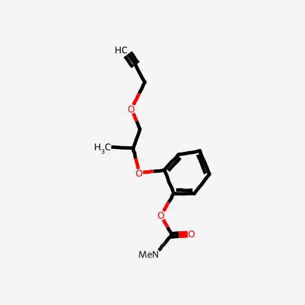 C#CCOCC(C)Oc1ccccc1OC(=O)NC